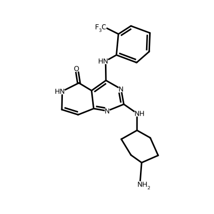 NC1CCC(Nc2nc(Nc3ccccc3C(F)(F)F)c3c(=O)[nH]ccc3n2)CC1